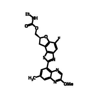 CCNC(=O)OC[C@@H]1Cc2c(c(F)cc3nc(-c4cc(C)cc5nc(OC)cnc45)sc23)O1